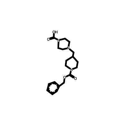 O=C(O)N1CCN(CC2CCN(C(=O)OCc3ccccc3)CC2)CC1